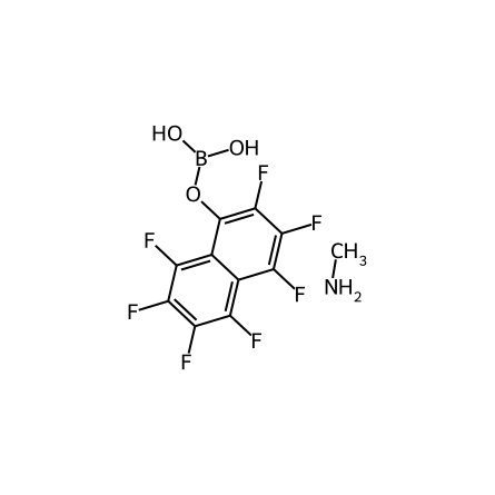 CN.OB(O)Oc1c(F)c(F)c(F)c2c(F)c(F)c(F)c(F)c12